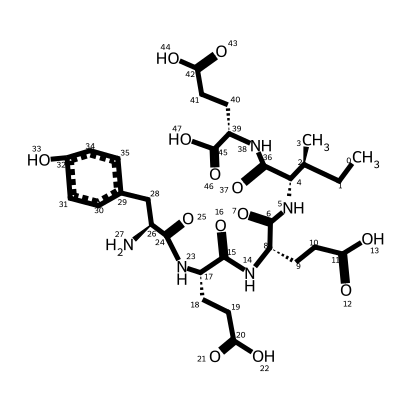 CC[C@H](C)[C@H](NC(=O)[C@H](CCC(=O)O)NC(=O)[C@H](CCC(=O)O)NC(=O)[C@@H](N)Cc1ccc(O)cc1)C(=O)N[C@@H](CCC(=O)O)C(=O)O